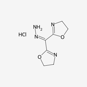 Cl.NN=C(C1=NCCO1)C1=NCCO1